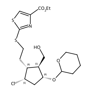 CCOC(=O)c1csc(SCC[C@@H]2[C@@H](CO)[C@H](OC3CCCCO3)C[C@@H]2Cl)n1